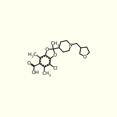 Cc1c(Cl)c2c(c(C)c1C(=O)O)OC(C)(C1CCN(CC3CCOC3)CC1)O2